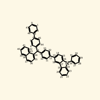 c1ccc(-c2ccc(C(c3ccc(-c4ccc5c(c4)c4ccccc4n5-c4ccccc4)cc3)c3cccc4ccccc34)cc2)cc1